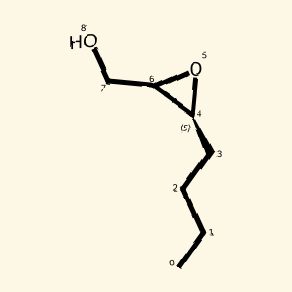 CCCC[C@@H]1OC1CO